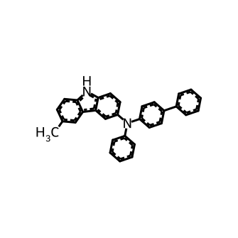 Cc1ccc2[nH]c3ccc(N(c4ccccc4)c4ccc(-c5ccccc5)cc4)cc3c2c1